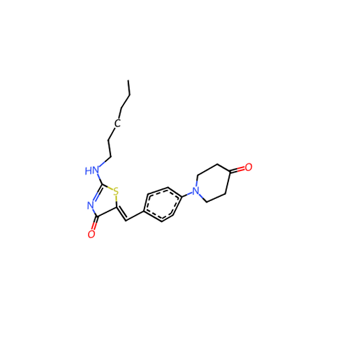 CCCCCCNC1=NC(=O)C(=Cc2ccc(N3CCC(=O)CC3)cc2)S1